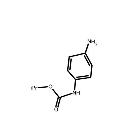 CC(C)OC(=O)Nc1ccc(N)cc1